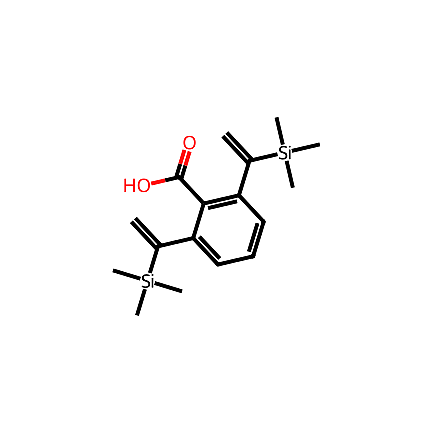 C=C(c1cccc(C(=C)[Si](C)(C)C)c1C(=O)O)[Si](C)(C)C